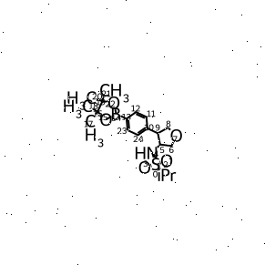 CC(C)S(=O)(=O)N[C@@H]1COCC1c1ccc(B2OC(C)(C)C(C)(C)O2)cc1